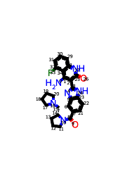 Nc1c(-c2nc3cc(C(=O)N4CCC[C@@H]4CN4CCCC4)ccc3[nH]2)c(=O)[nH]c2cccc(F)c12